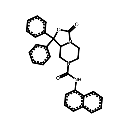 O=C(Nc1cccc2ccccc12)N1CCN2C(=O)OC(c3ccccc3)(c3ccccc3)C2C1